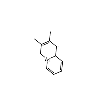 CC1=C(C)C[As]2C=CC=CC2[CH]1